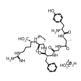 CC(=O)O.CC(=O)O.CC(C)C[C@H](NC(=O)[C@H](Cc1ccccc1)NC(=O)CNC(=O)[C@@H](C)NC(=O)[C@@H](N)Cc1ccc(O)cc1)C(=O)N[C@@H](CCCNC(=N)N)C(=O)O